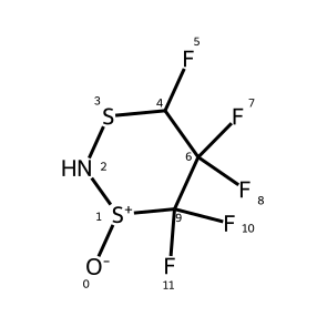 [O-][S+]1NSC(F)C(F)(F)C1(F)F